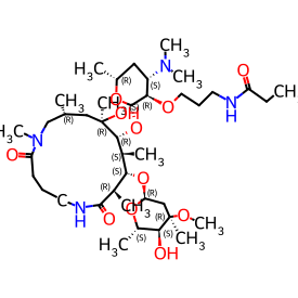 CCC(=O)NCCCO[C@H]1[C@H](O[C@@H]2[C@@H](C)[C@H](O[C@H]3C[C@@](C)(OC)[C@@H](O)[C@H](C)O3)[C@@H](C)C(=O)NCCCC(=O)N(C)C[C@H](C)C[C@@]2(C)O)O[C@H](C)C[C@@H]1N(C)C